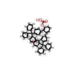 O=C(O)Oc1cccc(-c2ccc(C(c3ccccc3)(c3ccccc3)c3ccccc3)cc2)c1-c1ccc(C(c2ccccc2)(c2ccccc2)c2ccccc2)cc1